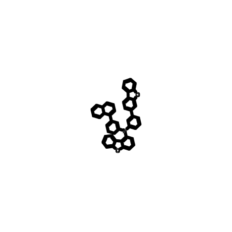 C1=CC2C=CC=C(C3=CCCC(N(c4cccc(-c5ccc6c(c5)oc5ccccc56)c4)c4cccc5oc6ccccc6c45)=C3)C2C=C1